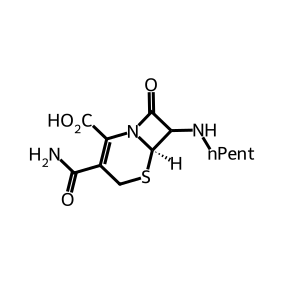 CCCCCNC1C(=O)N2C(C(=O)O)=C(C(N)=O)CS[C@H]12